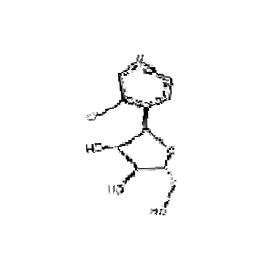 OC[C@H]1O[C@H](c2ccncc2Cl)[C@H](O)[C@@H]1O